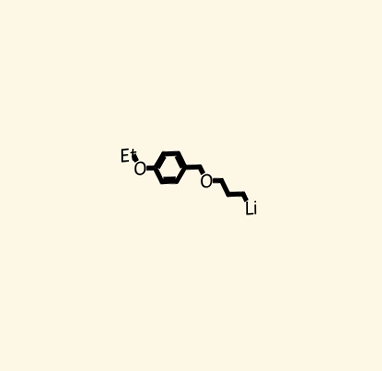 [Li][CH2]CCOCc1ccc(OCC)cc1